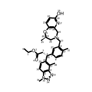 CCOC(=O)C[C@H](c1ccc(C)c(CN2Cc3nc(O)ccc3O[C@H](C)C2)c1)c1ccc2c(nnn2C)c1C